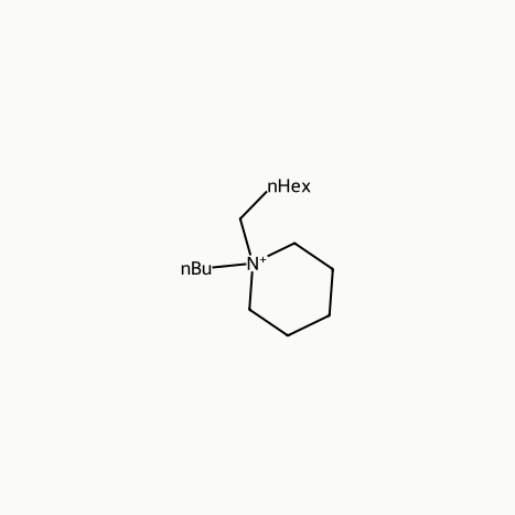 CCCCCCC[N+]1(CCCC)CCCCC1